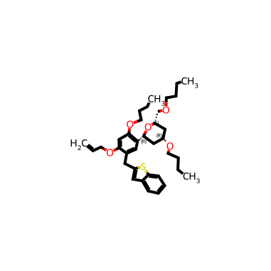 C=CCOc1cc(OCCCC)c([C@H]2C[C@@H](OCCCC)C[C@@H](COCCCC)O2)cc1Cc1cc2ccccc2s1